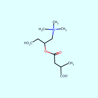 CC(CC(=O)OC(CC(=O)O)C[N+](C)(C)C)C(=O)[O-]